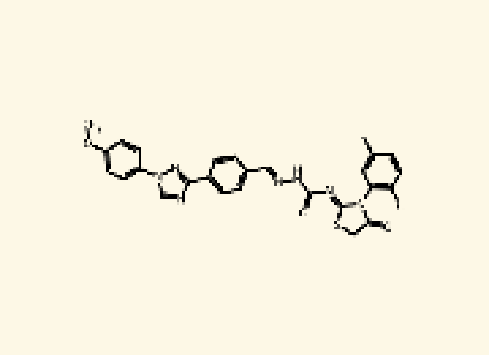 Cc1ccc(Cl)c(N2C(=O)CS/C2=N\C(=O)N/N=C/c2ccc(-c3ncn(-c4ccc(OC(F)(F)F)cc4)n3)cc2)c1